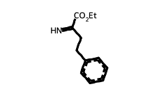 CCOC(=O)C(=N)CCc1ccccc1